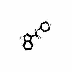 O=C(OC1CCOCC1)c1c[nH]c2ccccc12